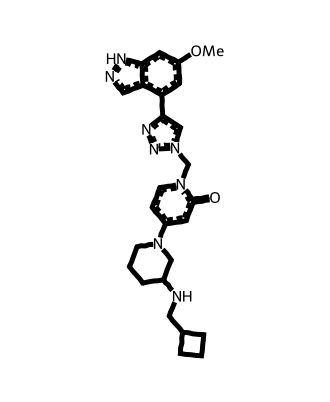 COc1cc(-c2cn(Cn3ccc(N4CCCC(NCC5CCC5)C4)cc3=O)nn2)c2cn[nH]c2c1